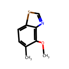 COc1c(C)ccc2s[c]nc12